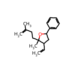 C=CC1CC(c2ccccc2)OC1(C)CCC(=C)C